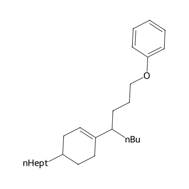 CCCCCCCC1CC=C(C(CCCC)CCCOc2ccccc2)CC1